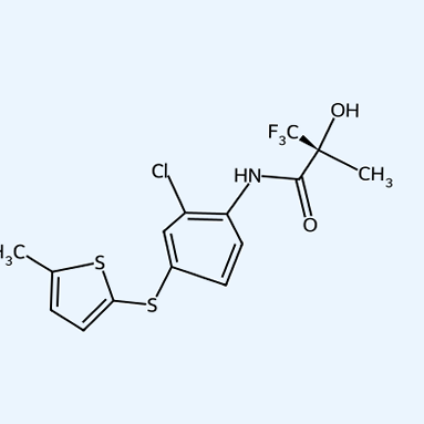 Cc1ccc(Sc2ccc(NC(=O)[C@@](C)(O)C(F)(F)F)c(Cl)c2)s1